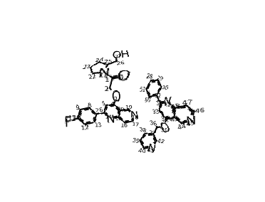 O=C(COc1cc(-c2ccc(F)cc2)nc2ccncc12)N1CCCC1CO.c1ccc(-c2cc(OCc3cccnc3)c3cnccc3n2)cc1